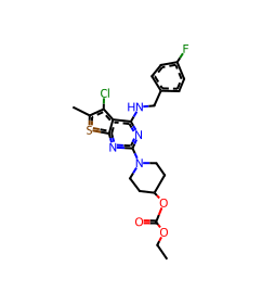 CCOC(=O)OC1CCN(c2nc(NCc3ccc(F)cc3)c3c(Cl)c(C)sc3n2)CC1